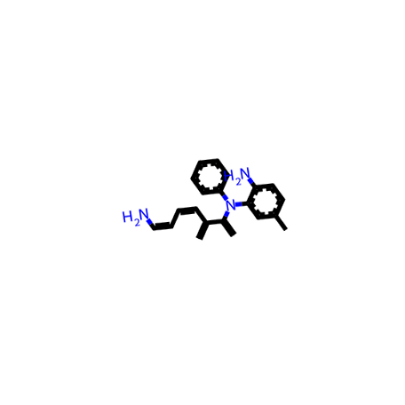 C=C(/C=C\C=C/N)C(=C)N(c1ccccc1)c1cc(C)ccc1N